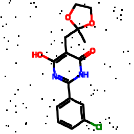 CC1(Cc2c(O)nc(-c3cccc(Cl)c3)[nH]c2=O)OCCO1